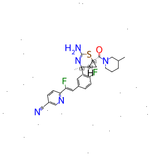 CC1CCCN(C(=O)[C@]23C[C@H]2[C@@](C)(c2cc(C=C(F)c4ccc(C#N)cn4)ccc2F)N=C(N)S3)C1